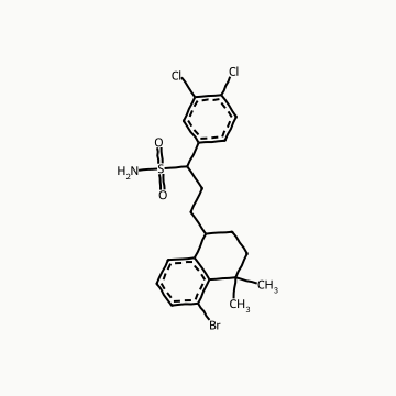 CC1(C)CCC(CCC(c2ccc(Cl)c(Cl)c2)S(N)(=O)=O)c2cccc(Br)c21